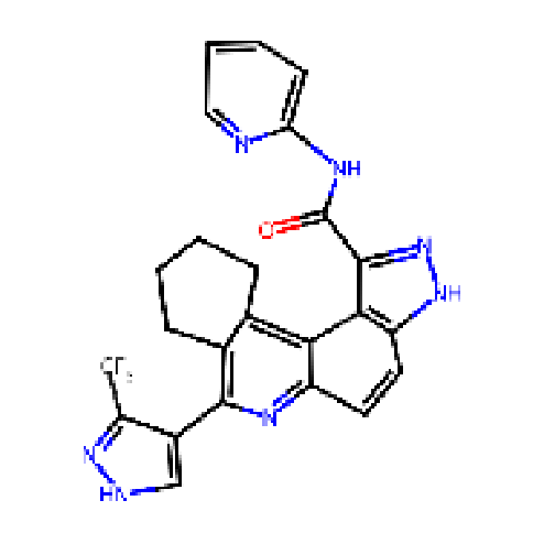 O=C(Nc1ccccn1)c1n[nH]c2ccc3nc(-c4c[nH]nc4C(F)(F)F)c4c(c3c12)CCCC4